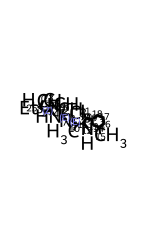 C=C(/C=C(/N/C(C)=N/C=C(\C)c1[nH]c2c(C)cccc2c1Cl)N(C)C)CC